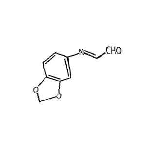 O=CC=Nc1ccc2c(c1)OCO2